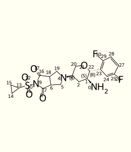 N[C@H]1C[C@@H](N2CC3C(=O)N(S(=O)(=O)C4CC4)C(=O)C3C2)CO[C@@H]1c1cc(F)ccc1F